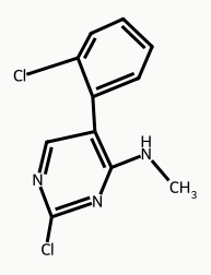 CNc1nc(Cl)ncc1-c1ccccc1Cl